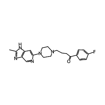 Cc1nc2cnc(N3CCN(CCCC(=O)c4ccc(F)cc4)CC3)cc2[nH]1